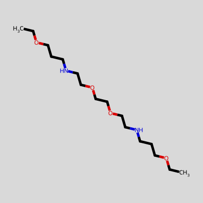 CCOCCCNCCOCCOCCNCCCOCC